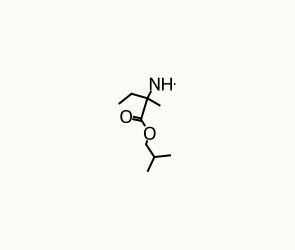 CCC(C)([NH])C(=O)OCC(C)C